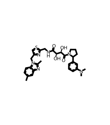 Cc1ccc2c(c1)nc(C)n2Cc1csc(CNC(=O)[C@H](O)[C@@H](O)C(=O)N2CCCC2c2cccc(N(C)C)c2)n1